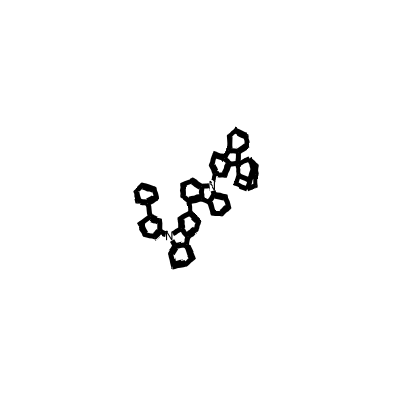 c1ccc(-c2cccc(-n3c4ccccc4c4ccc(-c5cccc6c5c5ccccc5n6-c5ccc6c(c5)C5(c7ccccc7-6)C6CC7CC(C6)CC5C7)cc43)c2)cc1